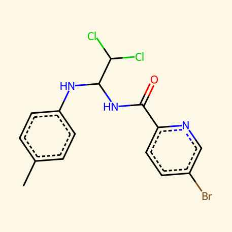 Cc1ccc(NC(NC(=O)c2ccc(Br)cn2)C(Cl)Cl)cc1